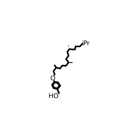 CC(C)CCC[C@@H](C)CCC[C@@H](C)CCCC(C)CCOc1ccc(CO)cc1